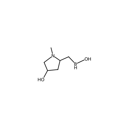 CN1CC(O)CC1CBO